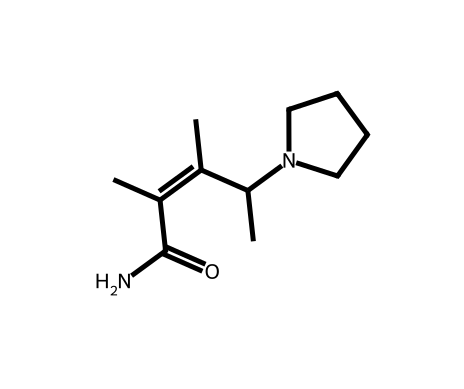 CC(C(N)=O)=C(C)C(C)N1CCCC1